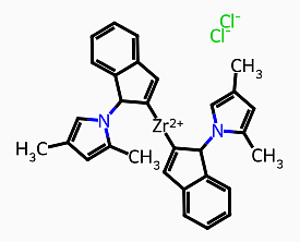 Cc1cc(C)n(C2[C]([Zr+2][C]3=Cc4ccccc4C3n3cc(C)cc3C)=Cc3ccccc32)c1.[Cl-].[Cl-]